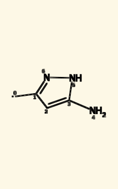 [CH2]c1cc(N)[nH]n1